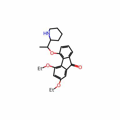 CCOc1cc(OCC)c2c(c1)C(=O)c1cccc(OC(C)C3CCCCN3)c1-2